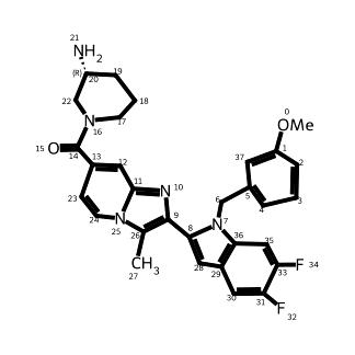 COc1cccc(Cn2c(-c3nc4cc(C(=O)N5CCC[C@@H](N)C5)ccn4c3C)cc3cc(F)c(F)cc32)c1